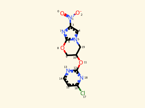 O=[N+]([O-])c1cn2c(n1)OCC(Oc1nccc(Cl)n1)C2